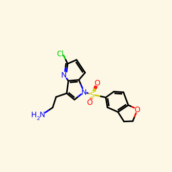 NCCc1cn(S(=O)(=O)c2ccc3c(c2)CCO3)c2ccc(Cl)nc12